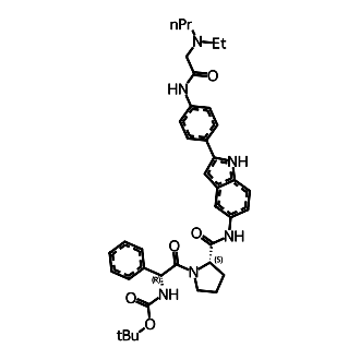 CCCN(CC)CC(=O)Nc1ccc(-c2cc3cc(NC(=O)[C@@H]4CCCN4C(=O)[C@H](NC(=O)OC(C)(C)C)c4ccccc4)ccc3[nH]2)cc1